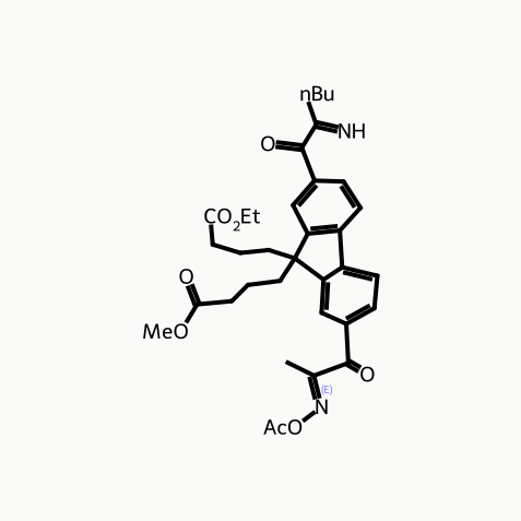 CCCCC(=N)C(=O)c1ccc2c(c1)C(CCCC(=O)OC)(CCCC(=O)OCC)c1cc(C(=O)/C(C)=N/OC(C)=O)ccc1-2